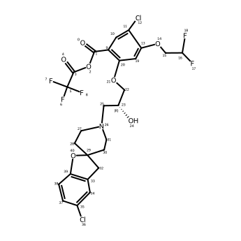 O=C(OC(=O)C(F)(F)F)c1cc(Cl)c(OCC(F)F)cc1OC[C@H](O)CN1CCC2(CC1)Cc1cc(Cl)ccc1O2